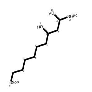 CCCCCCCCCCCCCCCC(O)CC(O)NC(C)=O